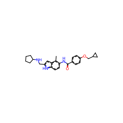 Cc1c(NC(=O)c2ccc(OCC3CC3)cc2)ccc2[nH]c(CNC3CCCC3)cc12